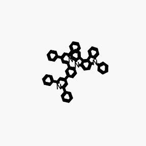 c1ccc(-c2cc(-c3ccccc3)nc(-c3cc(-c4cc(-c5ccccc5)nc(-c5ccccc5)c4)ccc3-n3c4ccccc4c4c5c6ccccc6n(-c6ccccc6)c5ccc43)c2)cc1